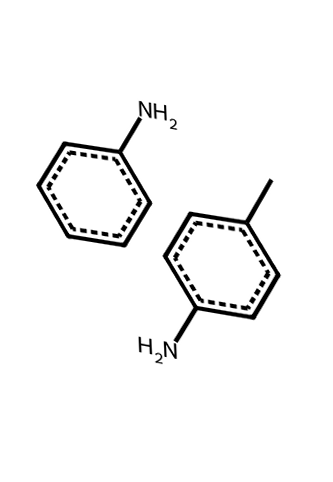 Cc1ccc(N)cc1.Nc1ccccc1